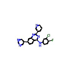 Fc1ccc(Nc2nc(-c3cccnc3)nc3cc(-c4cncnc4)ccc23)cc1Cl